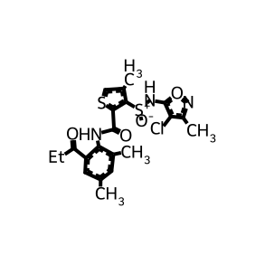 CCC(=O)c1cc(C)cc(C)c1NC(=O)c1scc(C)c1[S+]([O-])Nc1onc(C)c1Cl